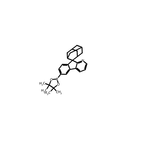 CC1(C)OB(c2ccc3c(c2)-c2cccnc2C32C3CC4CC(C3)CC2C4)OC1(C)C